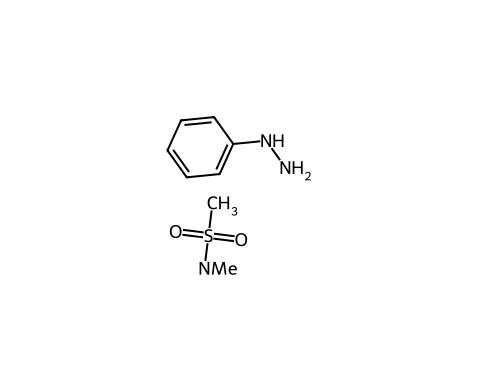 CNS(C)(=O)=O.NNc1ccccc1